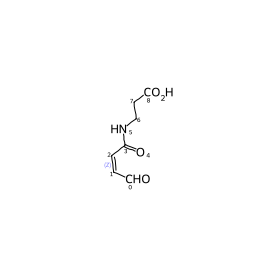 O=C/C=C\C(=O)NCCC(=O)O